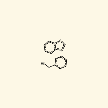 SCc1ccccc1.c1ccc2scnc2c1